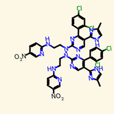 Cc1c[nH]c(-c2cnc(N(CCNc3ccc([N+](=O)[O-])cn3)N(CCNc3ccc([N+](=O)[O-])cn3)c3ncc(-c4nc(C)c[nH]4)c(-c4ccc(Cl)cc4Cl)n3)nc2-c2ccc(Cl)cc2Cl)n1